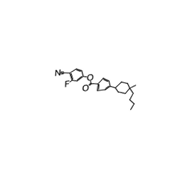 CCCCC1(C)CCC(c2ccc(C(=O)Oc3ccc(C#N)c(F)c3)cc2)CC1